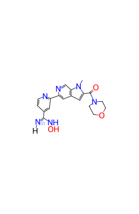 [H]/N=C(\NO)c1ccnc(-c2cc3cc(C(=O)N4CCOCC4)n(C)c3cn2)c1